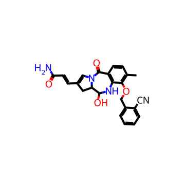 Cc1ccc2c(c1OCc1ccccc1C#N)NC(O)C1CC(C=CC(N)=O)=CN1C2=O